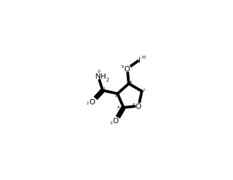 NC(=O)C1C(=O)OCC1OI